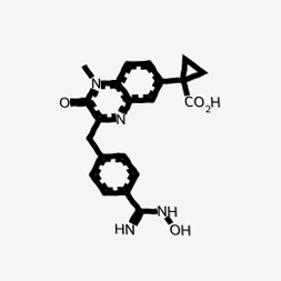 Cn1c(=O)c(Cc2ccc(C(=N)NO)cc2)nc2cc(C3(C(=O)O)CC3)ccc21